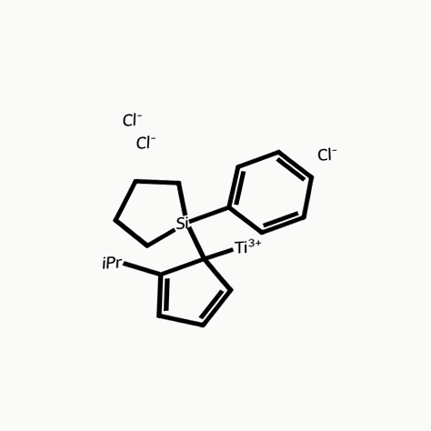 CC(C)C1=CC=C[C]1([Ti+3])[Si]1(c2ccccc2)CCCC1.[Cl-].[Cl-].[Cl-]